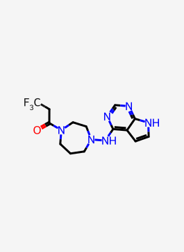 O=C(CC(F)(F)F)N1CCCN(Nc2ncnc3[nH]ccc23)CC1